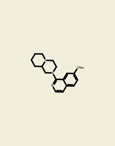 COc1ccc2ccnc(N3CCN4CCCCC4C3)c2c1